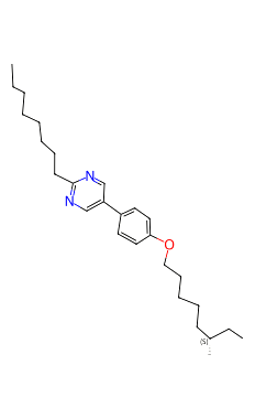 CCCCCCCCc1ncc(-c2ccc(OCCCCC[C@@H](C)CC)cc2)cn1